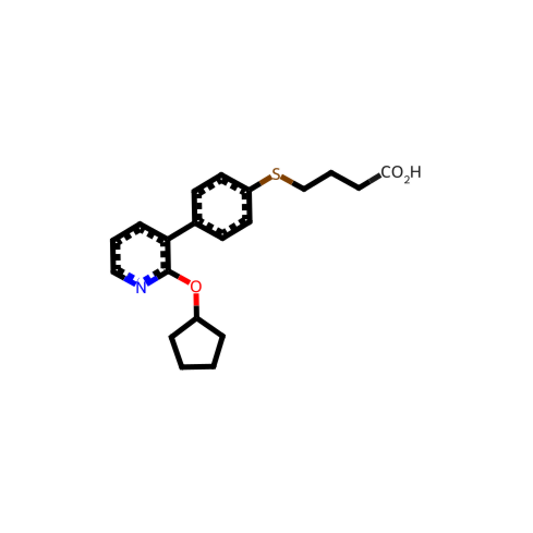 O=C(O)CCCSc1ccc(-c2cccnc2OC2CCCC2)cc1